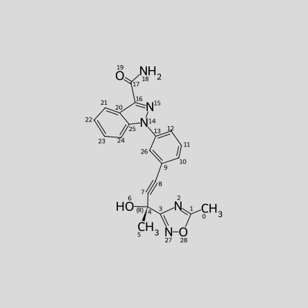 Cc1nc([C@](C)(O)C#Cc2cccc(-n3nc(C(N)=O)c4ccccc43)c2)no1